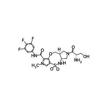 Cn1cc2c(c1C(=O)Nc1cc(F)c(F)c(F)c1)OC[C@H]1CN(C(=O)[C@@H](N)CO)C[C@H]1NS2(=O)=O